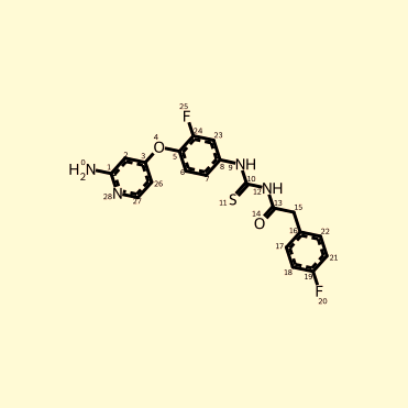 Nc1cc(Oc2ccc(NC(=S)NC(=O)Cc3ccc(F)cc3)cc2F)ccn1